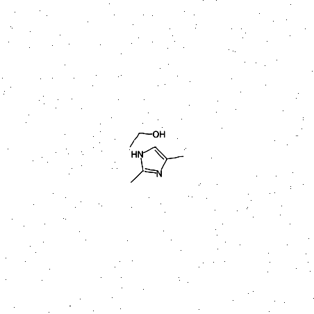 CCO.Cc1c[nH]c(C)n1